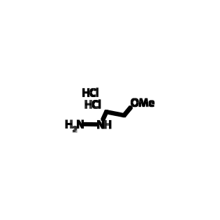 COCCNN.Cl.Cl